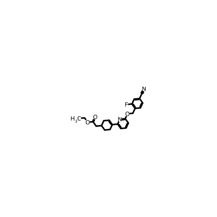 CCOC(=O)CC1CC=C(c2cccc(OCc3ccc(C#N)cc3F)n2)CC1